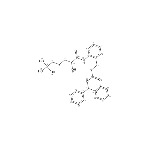 O=C(CCc1ccccc1NC(=O)C(O)CCCC(O)(O)O)OC(c1ccccc1)c1ccccc1